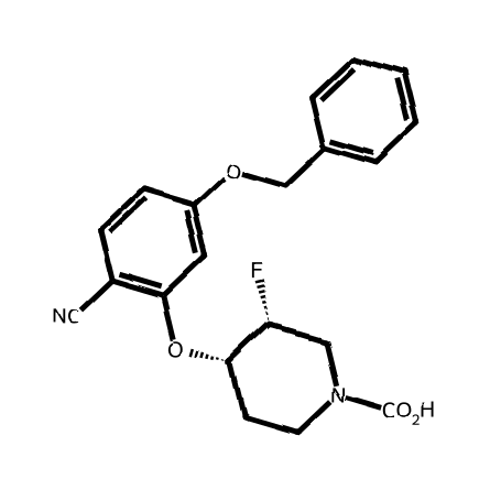 N#Cc1ccc(OCc2ccccc2)cc1O[C@H]1CCN(C(=O)O)C[C@H]1F